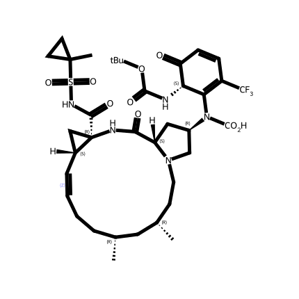 C[C@@H]1CC/C=C\[C@@H]2C[C@@]2(C(=O)NS(=O)(=O)C2(C)CC2)NC(=O)[C@@H]2C[C@@H](N(C(=O)O)C3=C(C(F)(F)F)C=CC(=O)[C@H]3NC(=O)OC(C)(C)C)CN2CC[C@H](C)C1